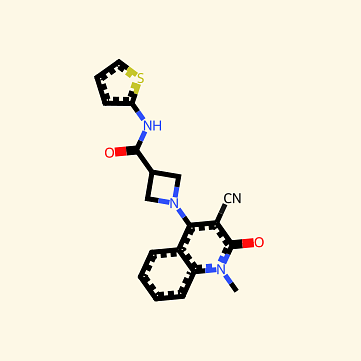 Cn1c(=O)c(C#N)c(N2CC(C(=O)Nc3cccs3)C2)c2ccccc21